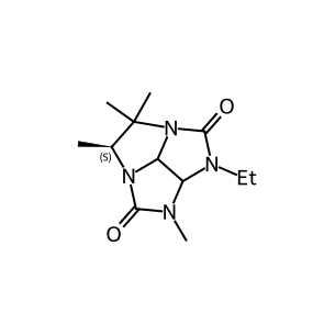 CCN1C(=O)N2C3C1N(C)C(=O)N3[C@@H](C)C2(C)C